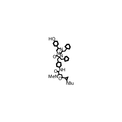 CCCCC1=CC1C(=O)CC(NC)C(=O)Nc1ccc(CC2(Cc3ccccc3)N=C3C(Cc4ccccc4)=NC(c4ccc(O)cc4)=CN3C2=O)cc1